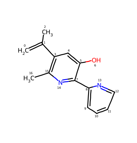 C=C(C)c1cc(O)c(-c2ccccn2)nc1C